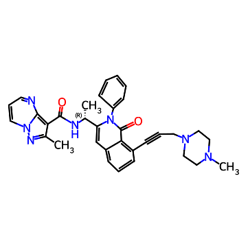 Cc1nn2cccnc2c1C(=O)N[C@H](C)c1cc2cccc(C#CCN3CCN(C)CC3)c2c(=O)n1-c1ccccc1